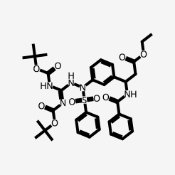 CCOC(=O)CC(NC(=O)c1ccccc1)c1cccc(N(NC(=NC(=O)OC(C)(C)C)NC(=O)OC(C)(C)C)S(=O)(=O)c2ccccc2)c1